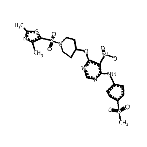 Cc1nc(C)c(S(=O)(=O)N2CCC(Oc3ncnc(Nc4ccc(S(C)(=O)=O)cc4)c3[N+](=O)[O-])CC2)s1